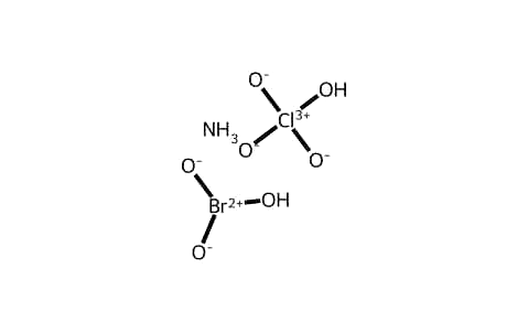 N.[O-][Br+2]([O-])O.[O-][Cl+3]([O-])([O-])O